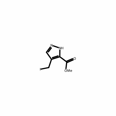 COC(=O)c1[nH]ncc1CI